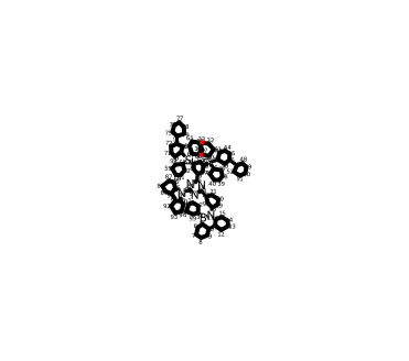 c1ccc(B2c3ccccc3-c3ccccc3N2c2cccc(-c3nc(-c4cc([Si](c5ccccc5)(c5ccccc5)c5cccc(-c6ccccc6)c5)cc([Si](c5ccccc5)(c5ccccc5)c5cccc(-c6ccccc6)c5)c4)nc(-n4c5ccccc5c5ccccc54)n3)c2)cc1